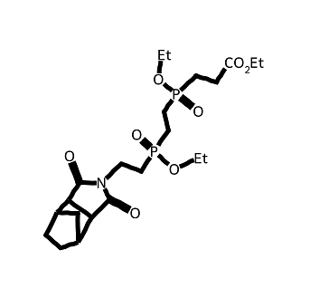 CCOC(=O)CCP(=O)(CCP(=O)(CCN1C(=O)C2C3CCC(C3)C2C1=O)OCC)OCC